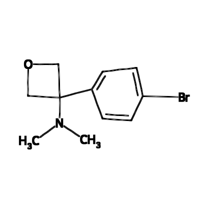 CN(C)C1(c2ccc(Br)cc2)COC1